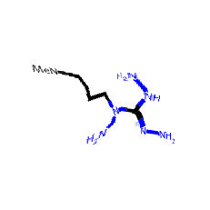 CNCCCN(N)/C(=N/N)NN